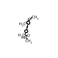 CCCOc1ccc(C#Cc2ccc(C(C)C(=O)NCC)cc2)c(C)c1